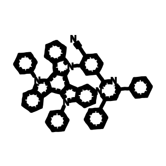 N#Cc1ccc(-c2nc(-c3ccccc3)cc(-c3ccccc3)n2)cc1-n1c2ccccc2c2c3c(c4ccccc4n3-c3ccccc3)c3c(c4ccccc4n3-c3ccccc3)c21